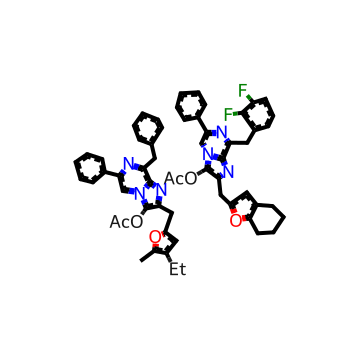 CC(=O)Oc1c(Cc2cc3c(o2)CCCC3)nc2c(Cc3cccc(F)c3F)nc(-c3ccccc3)cn12.CCc1cc(Cc2nc3c(Cc4ccccc4)nc(-c4ccccc4)cn3c2OC(C)=O)oc1C